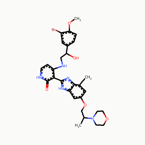 COc1ccc(C(O)CNc2cc[nH]c(=O)c2-c2nc3c(C)cc(OCC(C)N4CCOCC4)cc3[nH]2)cc1Br